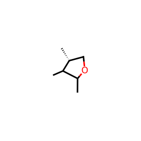 CC1OC[C@@H](C)C1C